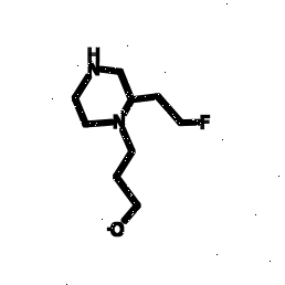 [O]CCCN1CCNCC1CCF